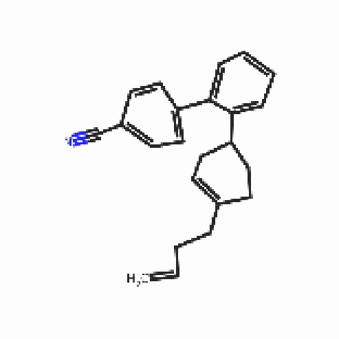 C=CCCC1=CCC(c2ccccc2-c2ccc(C#N)cc2)CC1